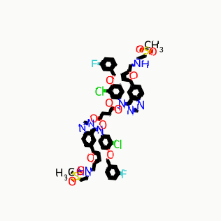 CS(=O)(=O)CCNCc1ccc(-c2ccc3ncnc(N(OC(=O)CCC(=O)ON(c4ccc(OCc5cccc(F)c5)c(Cl)c4)c4ncnc5ccc(-c6ccc(CNCCS(C)(=O)=O)o6)cc45)c4ccc(OCc5cccc(F)c5)c(Cl)c4)c3c2)o1